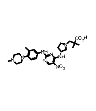 Cc1cc(Nc2ncc([N+](=O)[O-])c(N[C@H]3CCN(CC(C)(C)C(=O)O)C3)n2)ccc1N1CCN(C)CC1